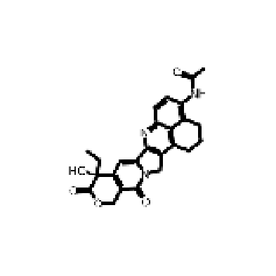 CC[C@@]1(O)C(=O)OCc2c1cc1n(c2=O)Cc2c-1nc1ccc(NC(C)=O)c3c1c2CCC3